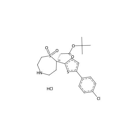 CC(C)(C)OC(=O)C[C@]1(c2ccc(-c3ccc(Cl)cc3)s2)CCNCCS1(=O)=O.Cl